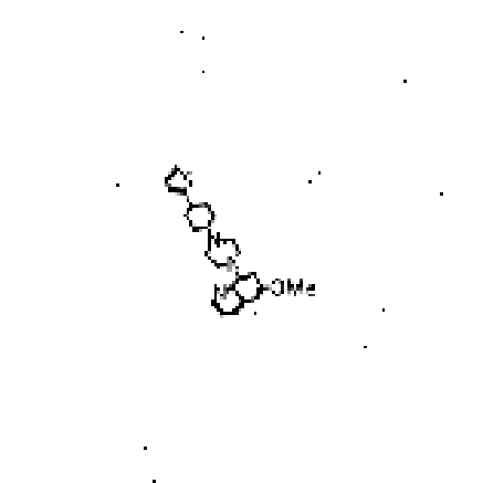 COc1cc(N2CCN([C@H]3CC[C@H](c4cccs4)CC3)CC2)c2ncccc2c1